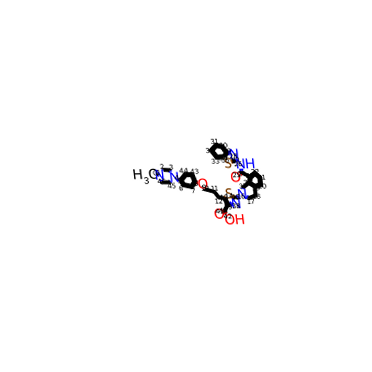 CN1CCN(c2ccc(OCCCc3sc(N4CCc5cccc(C(=O)Nc6nc7ccccc7s6)c5C4)nc3C(=O)O)cc2)CC1